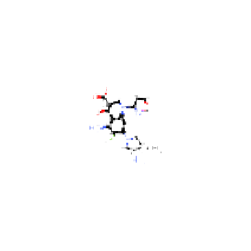 C[C@H]1CN(c2cc3c(c(N)c2F)c(=O)c(C(=O)O)cn3-c2ccon2)C[C@H]1N